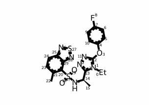 CCn1c(Oc2ccc(F)cc2)nnc1[C@@H](C)NS(=O)(=O)c1c(C)ccc2nsnc12